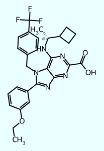 CCOc1cccc(-c2nc3nc(C(=O)O)nc(N[C@H](C)C4CCC4)c3n2Cc2ccc(C(F)(F)F)cc2)c1